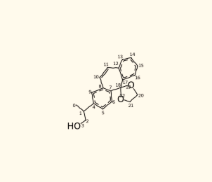 CC(CO)c1ccc2c(c1)C=Cc1ccccc1C21OCCO1